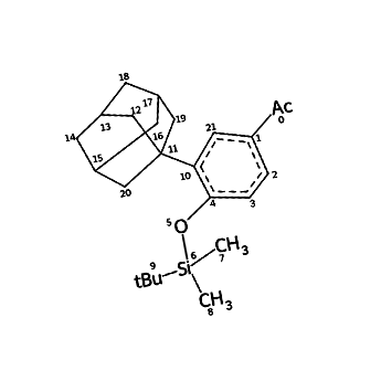 CC(=O)c1ccc(O[Si](C)(C)C(C)(C)C)c(C23CC4CC(CC(C4)C2)C3)c1